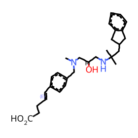 CN(Cc1ccc(/C=C/CCC(=O)O)cc1)C[C@H](O)CNC(C)(C)CC1Cc2ccccc2C1